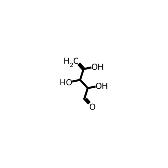 C=C(O)C(O)C(O)C=O